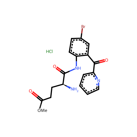 COC(=O)CC[C@H](N)C(=O)Nc1ccc(Br)cc1C(=O)c1ccccn1.Cl